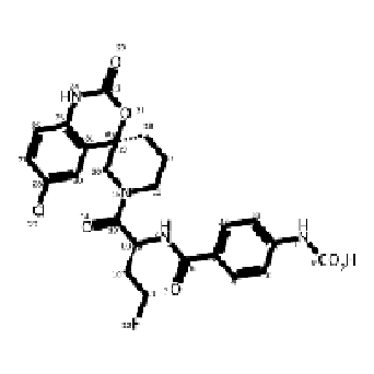 O=C(O)Nc1ccc(C(=O)N[C@@H](CCF)C(=O)N2CCC[C@@]3(C2)OC(=O)Nc2ccc(Cl)cc23)cc1